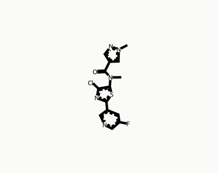 CN(C(=O)c1cnn(C)c1)c1sc(-c2cncc(F)c2)nc1Cl